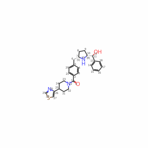 O=C(c1ccc(C[C@@H]2CC[C@H](C(O)c3ccccc3)N2)cc1)N1CCC(c2cscn2)CC1